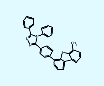 Cc1cccc2c1sc1c(-c3ccc(-c4nnc(-c5ccccc5)n4-c4ccccc4)cc3)cccc12